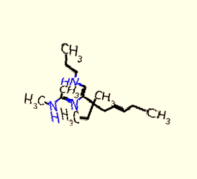 CC/C=C/CC(C)(CC)C(=C/NCCC)/N=C(\C)NC